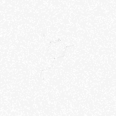 CNCc1cc(Cl)nc(Cl)c1